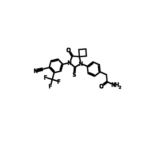 N#Cc1ccc(N2C(=O)C3(CCC3)N(c3ccc(CC(N)=O)cc3)C2=S)cc1C(F)(F)F